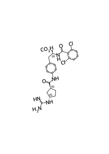 N=C(N)N[C@H]1CC[C@H](C(=O)Nc2ccc(C[C@H](NC(=O)c3c(Cl)cccc3Cl)C(=O)O)cc2)C1